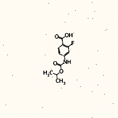 CC(C)OC(=O)Nc1ccc(C(=O)O)c(F)c1